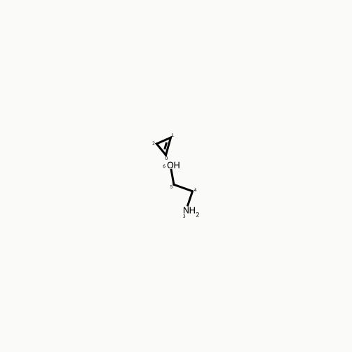 C1=CC1.NCCO